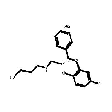 Cl.OCCCNCC[C@@H](Oc1cc(Cl)ccc1Cl)c1ccccc1